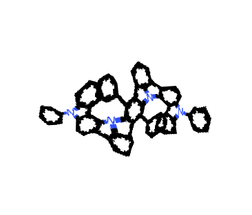 c1ccc(-c2c3c4cccc5c6ccc7c(c8ccccc8n7-c7ccccc7)c6n(c3c(-c3ccccc3)c3c6cccc7c8ccc9c(c%10ccccc%10n9-c9ccccc9)c8n(c23)c76)c54)cc1